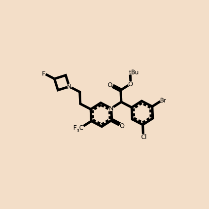 CC(C)(C)OC(=O)C(c1cc(Cl)cc(Br)c1)n1cc(CCN2CC(F)C2)c(C(F)(F)F)cc1=O